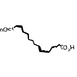 CCCCCCCC/C=C\CCCCCC/C=C\CCCC(=O)O